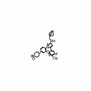 CC(C)Oc1cc(N2CCS(=O)(=O)CC2)ccc1-n1nc(NCC23CCN(CC2)CC3)cc1-c1ccc(C#N)c(F)c1